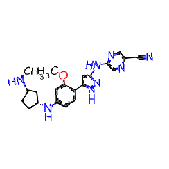 CNC1CC[C@@H](Nc2ccc(-c3cc(Nc4cnc(C#N)cn4)n[nH]3)c(OC)c2)C1